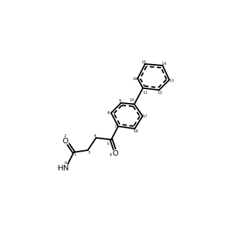 [NH]C(=O)CCC(=O)c1ccc(-c2ccccc2)cc1